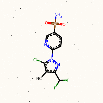 N#Cc1c(C(F)F)nn(-c2ccc(S(N)(=O)=O)cn2)c1Cl